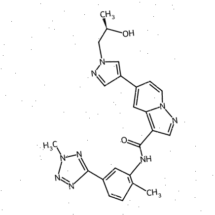 Cc1ccc(-c2nnn(C)n2)cc1NC(=O)c1cnn2ccc(-c3cnn(C[C@@H](C)O)c3)cc12